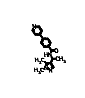 Cc1c(C(C)NC(=O)c2ccc(-c3ccncc3)cc2)cnn1C